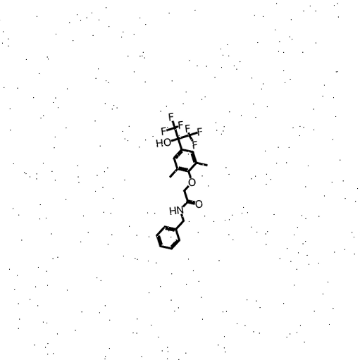 Cc1cc(C(O)(C(F)(F)F)C(F)(F)F)cc(C)c1OCC(=O)NCc1ccccc1